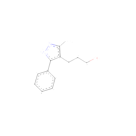 Cc1n[nH]c(-c2ccccc2)c1CCCO